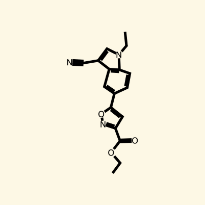 CCOC(=O)c1cc(-c2ccc3c(c2)c(C#N)cn3CC)on1